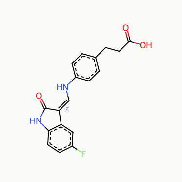 O=C(O)CCc1ccc(N/C=C2\C(=O)Nc3ccc(F)cc32)cc1